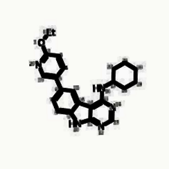 CCOc1ccc(-c2ccc3[nH]c4ncnc(NC5CCCCC5)c4c3c2)cn1